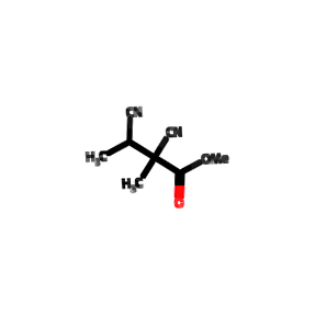 COC(=O)C(C)(C#N)C(C)C#N